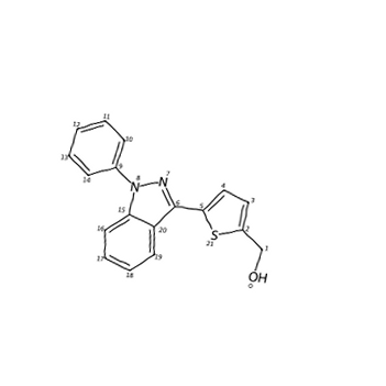 OCc1ccc(-c2nn(-c3ccccc3)c3ccccc23)s1